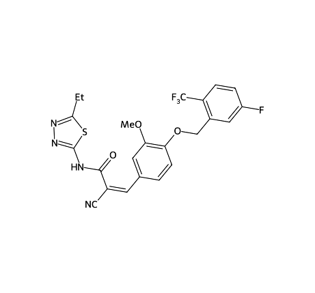 CCc1nnc(NC(=O)C(C#N)=Cc2ccc(OCc3cc(F)ccc3C(F)(F)F)c(OC)c2)s1